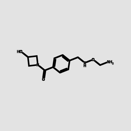 NCOBCc1ccc(C(=O)N2CC(O)C2)cc1